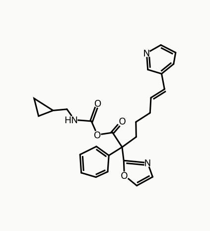 O=C(NCC1CC1)OC(=O)C(CCCC=Cc1cccnc1)(c1ccccc1)c1ncco1